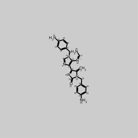 C=C1C(c2ncn(Cc3ccc(N)cc3)c2/N=C\N)=NC(=O)N1Cc1ccc(N)cc1